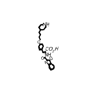 O=C(N[C@@H](Cc1ccc(OCCCCC2CCNCC2)cc1)C(=O)O)C1=Nc2ccccc2C1=O